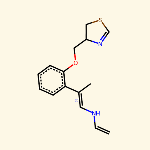 C=CN/C=C(\C)c1ccccc1OCC1CSC=N1